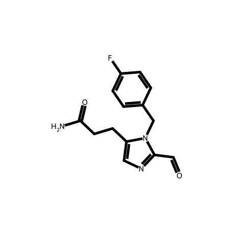 NC(=O)CCc1cnc(C=O)n1Cc1ccc(F)cc1